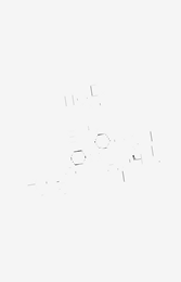 C=C(C)COc1ccc(C(CC)c2ccc(OCC(=C)C)cc2OCCOC(O)CC)c(OCCOC(O)CC)c1